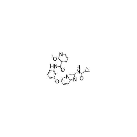 COc1ncccc1C(=O)Nc1cccc(Oc2ccc3nc(NC(=O)C4CC4)cn3c2)c1